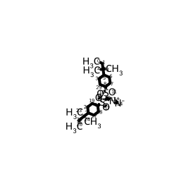 CCC(C)(C)C1CCC(S(=O)(=O)C(=[N+]=[N-])S(=O)(=O)C2CCC(C(C)(C)CC)CC2)CC1